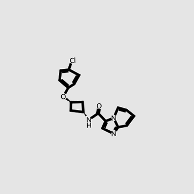 O=C(N[C@H]1C[C@H](Oc2ccc(Cl)cc2)C1)c1cnc2ccccn12